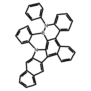 c1ccc(N2B3c4ccccc4-n4c5cc6ccccc6cc5c5c6ccccc6c(c3c54)-c3ccccc32)cc1